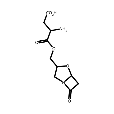 NC(CC(=O)O)C(=O)OCC1CN2C(=O)CC2O1